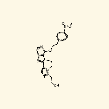 CO[N+](=O)c1ccc(CCOc2ncnc3sc4c(c23)CCc2c-4cnn2CCO)cc1